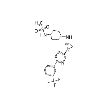 CS(=O)(=O)NC1CCC(N[C@@H]2C[C@H]2c2ccc(-c3cccc(C(F)(F)F)c3)nc2)CC1